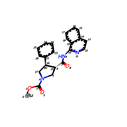 CC(C)(C)OC(=O)N1C[C@@H](C(=O)Nc2nccc3ccccc23)[C@H](c2ccccc2)C1